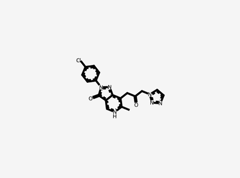 Cc1[nH]cc2c(=O)n(-c3ccc(Cl)cc3)nc-2c1CC(=O)Cn1ccnn1